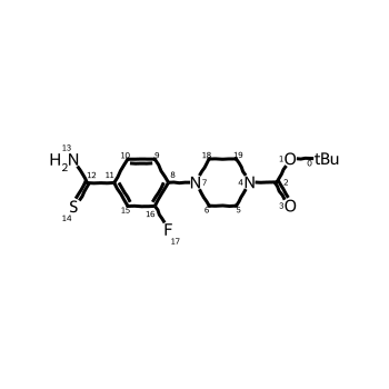 CC(C)(C)OC(=O)N1CCN(c2ccc(C(N)=S)cc2F)CC1